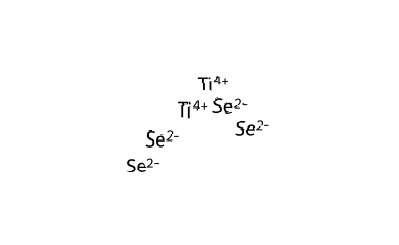 [Se-2].[Se-2].[Se-2].[Se-2].[Ti+4].[Ti+4]